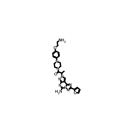 CC(C(=O)N1CCN(c2ccc(OCCN)cc2)CC1)n1cc2c(nc(N)n3nc(-c4ccco4)nc23)n1